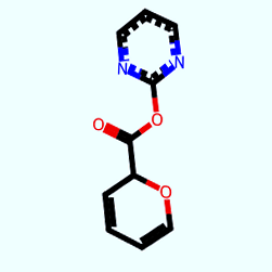 O=C(Oc1ncccn1)C1C=CC=CO1